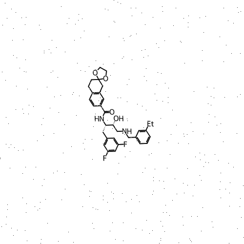 CCc1cccc(CNC[C@@H](O)[C@H](Cc2cc(F)cc(F)c2)NC(=O)c2ccc3c(c2)CC2(CC3)OCCO2)c1